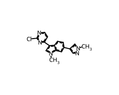 Cn1cc(-c2ccc3c(-c4ccnc(Cl)n4)cn(C)c3c2)cn1